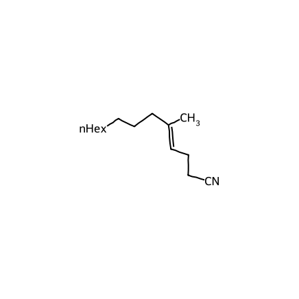 CCCCCCCCCC(C)=CCCC#N